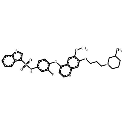 COc1cc2c(Oc3ccc(NS(=O)(=O)c4csc5ccccc45)cc3F)ccnc2cc1OCCCN1CCCC(C)C1